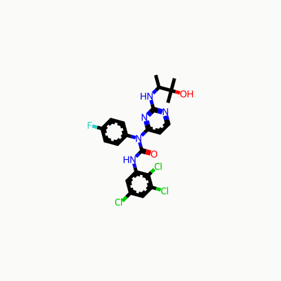 CC(Nc1nccc(N(C(=O)Nc2cc(Cl)cc(Cl)c2Cl)c2ccc(F)cc2)n1)C(C)(C)O